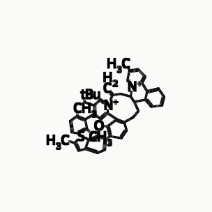 C=C1CC2C(CCc3ccc4c(oc5c4ccc4cc(C)sc45)c3-c3cc(-c4c(C)cccc4C)c(CC(C)(C)C)c[n+]31)c1ccccc1-c1ccc(C)c[n+]12